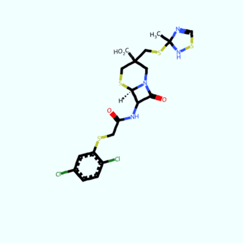 CC1(SCC2(C(=O)O)CS[C@@H]3C(NC(=O)CSc4cc(Cl)ccc4Cl)C(=O)N3C2)N=CSN1